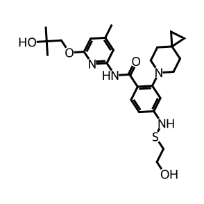 Cc1cc(NC(=O)c2ccc(NSCCO)cc2N2CCC3(CC2)CC3)nc(OCC(C)(C)O)c1